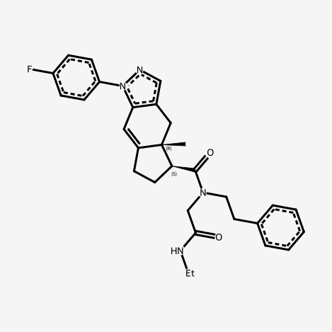 CCNC(=O)CN(CCc1ccccc1)C(=O)[C@H]1CCC2=Cc3c(cnn3-c3ccc(F)cc3)C[C@@]21C